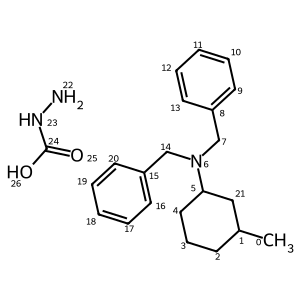 CC1CCCC(N(Cc2ccccc2)Cc2ccccc2)C1.NNC(=O)O